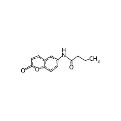 CCCC(=O)Nc1ccc2oc(=O)ccc2c1